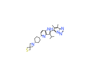 Cc1c(-c2[nH]c3ccc([C@H]4CC[C@@H](N5CC6(CSC6)C5)CC4)nc3c2C(C)C)cn2ncnc2c1C